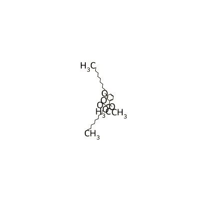 CCCCCCCCCCOc1c(OC(C)C)c2cccc(OCCCCCCCCCC)c2oc1=O